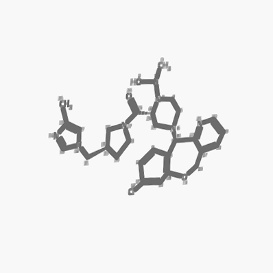 CB(O)N1CCN([C@@H]2c3ccc(Cl)cc3OCc3cccnc32)C[C@@H]1C(=O)N1CC[C@@H](Cn2cnc(C)c2)C1